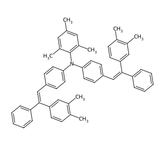 Cc1cc(C)c(N(c2ccc(/C=C(/c3ccccc3)c3ccc(C)c(C)c3)cc2)c2ccc(/C=C(/c3ccccc3)c3ccc(C)c(C)c3)cc2)c(C)c1